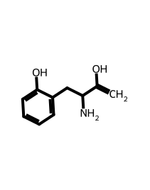 C=C(O)C(N)Cc1ccccc1O